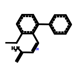 C=C(N)/C=C\c1c(CC)cccc1-c1ccccc1